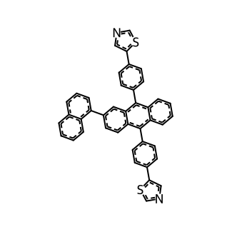 c1ccc2c(-c3ccc4c(-c5ccc(-c6cncs6)cc5)c5ccccc5c(-c5ccc(-c6cncs6)cc5)c4c3)cccc2c1